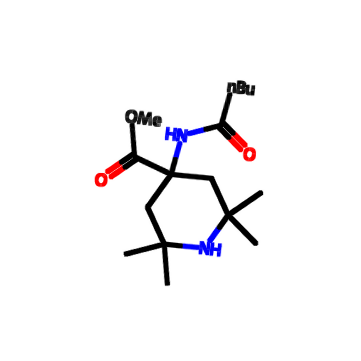 CCCCC(=O)NC1(C(=O)OC)CC(C)(C)NC(C)(C)C1